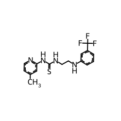 Cc1ccnc(NC(=S)NCCNc2cccc(C(F)(F)F)c2)c1